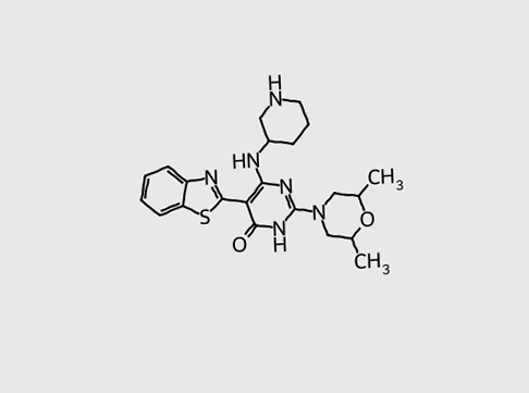 CC1CN(c2nc(NC3CCCNC3)c(-c3nc4ccccc4s3)c(=O)[nH]2)CC(C)O1